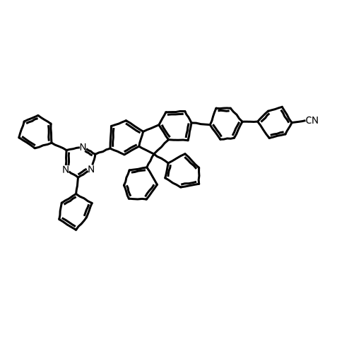 N#Cc1ccc(-c2ccc(-c3ccc4c(c3)C(c3ccccc3)(c3ccccc3)c3cc(-c5nc(-c6ccccc6)nc(-c6ccccc6)n5)ccc3-4)cc2)cc1